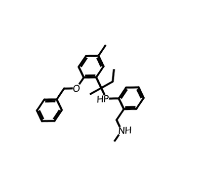 CCC(C)(Pc1ccccc1CNC)c1cc(C)ccc1OCc1ccccc1